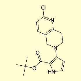 CC(C)(C)OC(=O)c1[nH]ccc1N1CCc2nc(Cl)ccc2C1